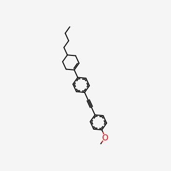 CCCCC1CC=C(c2ccc(C#Cc3ccc(OC)cc3)cc2)CC1